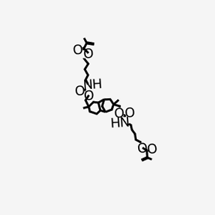 C=C(C)C(=O)OCCCCCNC(=O)OCC1(C)CC2CC(C1)C1CC(C)(COC(=O)NCCCCCOC(=O)C(=C)C)CCC21